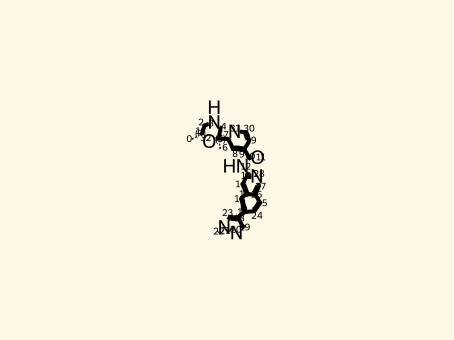 C[C@@H]1CNC[C@@](C)(c2cc(C(=O)Nc3cc4cc(-c5cnn(C)c5)ccc4cn3)ccn2)O1